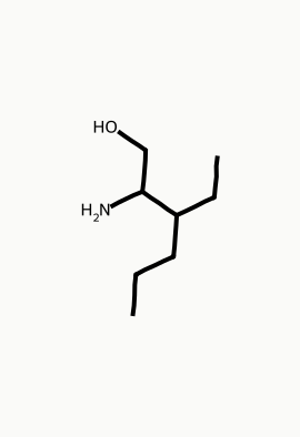 CCCC(CC)C(N)CO